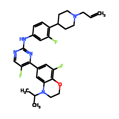 C=CCN1CCC(c2ccc(Nc3ncc(F)c(-c4cc(F)c5c(c4)N(C(C)C)CCO5)n3)cc2F)CC1